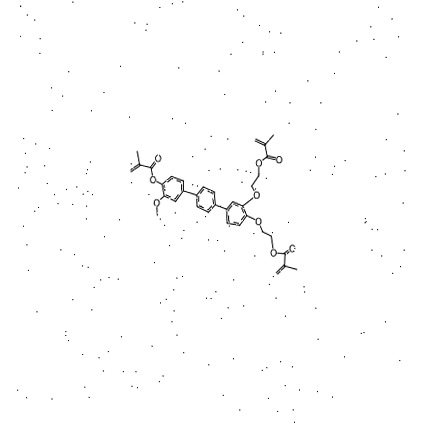 C=C(C)C(=O)OCCOc1ccc(-c2ccc(-c3ccc(OC(=O)C(=C)C)c(OC)c3)cc2)cc1OCCOC(=O)C(=C)C